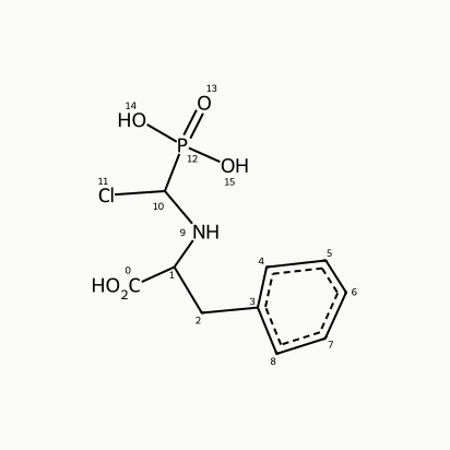 O=C(O)C(Cc1ccccc1)NC(Cl)P(=O)(O)O